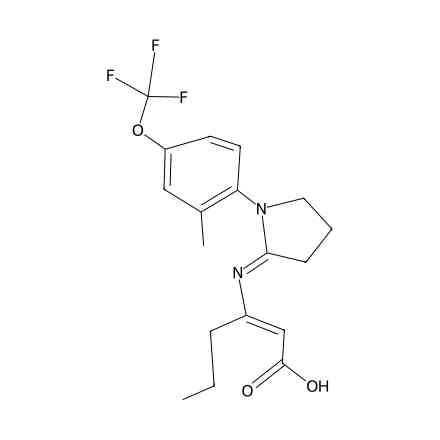 CCCC(=CC(=O)O)N=C1CCCN1c1ccc(OC(F)(F)F)cc1C